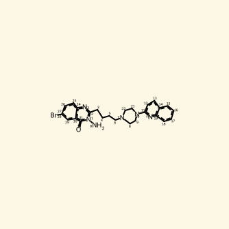 Nn1c(CCCCN2CCN(c3ccc4ccccc4n3)CC2)nc2ccc(Br)cc2c1=O